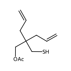 C=CCC(CS)(CC=C)COC(C)=O